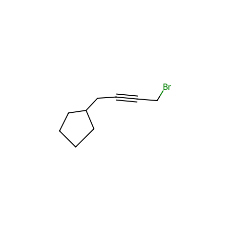 BrCC#CCC1CCCC1